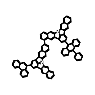 c1ccc(-c2c3ccccc3c(-c3cc4c5cc6ccccc6cc5n5c6cc7cccc(-c8ccc9cc%10c(cc9c8)c8cc(-c9cc%11ccccc%11c%11ccccc9%11)cc9c%11cc%12ccccc%12cc%11n%10c98)c7cc6c(c3)c45)c3ccccc23)cc1